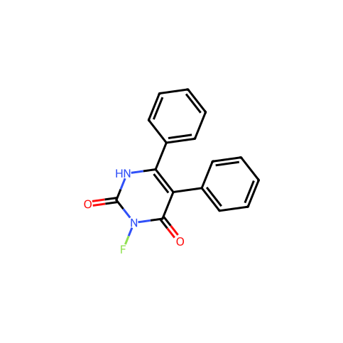 O=c1[nH]c(-c2ccccc2)c(-c2ccccc2)c(=O)n1F